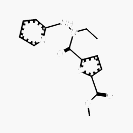 CCN(Nc1ccccn1)C(=O)c1ccc(C(=O)OC)s1